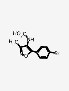 Cc1noc(-c2ccc(Br)cc2)c1NC(=O)O